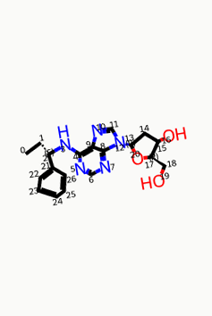 CC[C@H](Nc1ncnc2c1ncn2[C@H]1CC(O)[C@@H](CO)O1)c1ccccc1